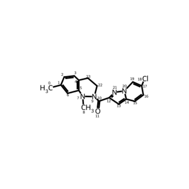 Cc1ccc2c(c1)N(C)N(C(=O)c1cc3ccc(Cl)cn3n1)CC2